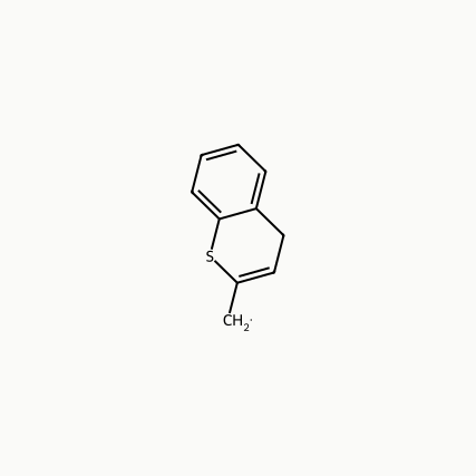 [CH2]C1=CCc2ccccc2S1